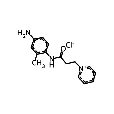 Cc1cc(N)ccc1NC(=O)CC[n+]1ccccc1.[Cl-]